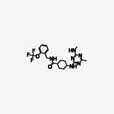 CNc1nc(C)nc(NC2CCC(C(=O)NCc3ccccc3OC(F)(F)F)CC2)n1